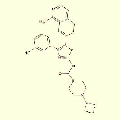 Cc1ncnc2ccc(-c3sc(NC(=O)N4CCN(C5COC5)CC4)nc3-c3cccc(C#N)c3)cc12